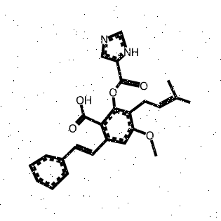 COc1cc(/C=C/c2ccccc2)c(C(=O)O)c(OC(=O)c2cnc[nH]2)c1CC=C(C)C